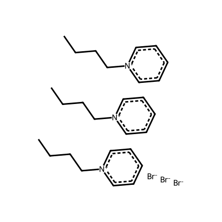 CCCC[n+]1ccccc1.CCCC[n+]1ccccc1.CCCC[n+]1ccccc1.[Br-].[Br-].[Br-]